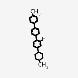 Cc1ccc(-c2ccc(-c3ccc(C4CCC(C)CC4)cc3F)cc2)cc1